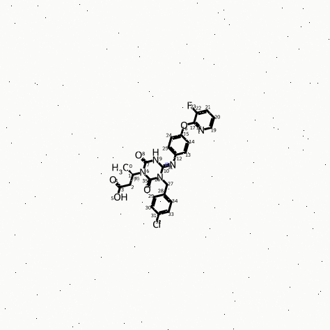 C[C@H](CC(=O)O)n1c(=O)[nH]/c(=N\c2ccc(Oc3ncccc3F)cc2)n(Cc2ccc(Cl)cc2)c1=O